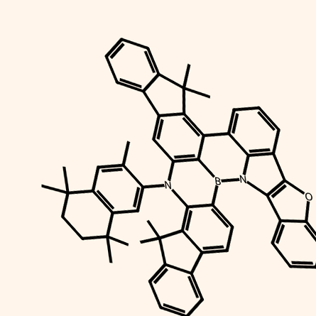 Cc1cc2c(cc1N1c3cc4c(c5c3B(c3ccc6c(c31)C(C)(C)c1ccccc1-6)n1c3c-5cccc3c3oc5ccccc5c31)C(C)(C)c1ccccc1-4)C(C)(C)CCC2(C)C